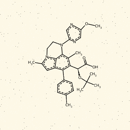 COc1cnc(N2CCn3c(C)cc4c(-c5ccc(C)cc5)c([C@H](OC(C)(C)C)C(=O)O)c(C)c2c43)cn1